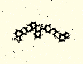 Cc1ccc(S(=O)(=O)O)c(-c2cc(F)ccc2C(=O)C2CCN(CC3COc4ccc5nocc5c4O3)CC2)c1CC1=COC2=C(O1)C1=CONC1C=C2